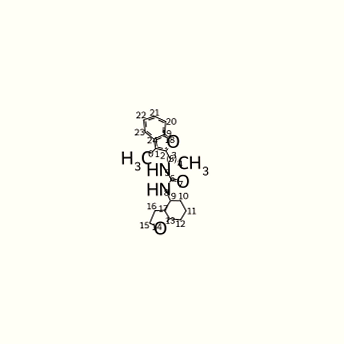 Cc1c([C@H](C)NC(=O)NC2CCCC3OCCC23)oc2ccccc12